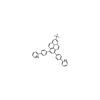 CC(C)(C)C1=CC2C=Cc3c(-c4ccc(-c5ccccn5)cc4)cc(-c4ccc(-c5ccccn5)cc4)c4c3C2C(=C1)C=C4